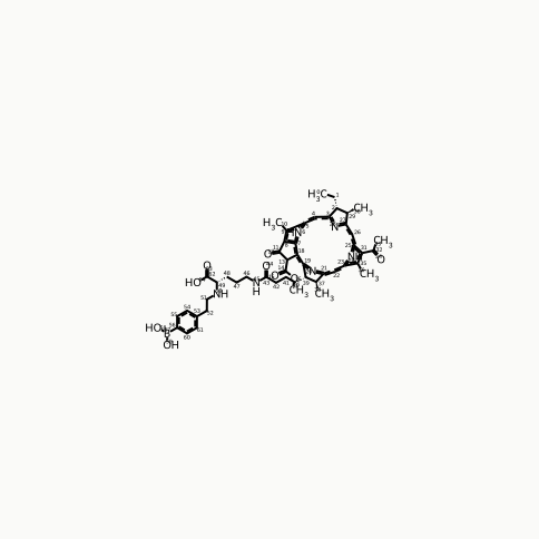 CC[C@H]1c2cc3[nH]c4c(c3C)C(=O)C(C(=O)OC)c4c3nc(cc4[nH]c(cc(n2)[C@@H]1C)c(C(C)=O)c4C)[C@@H](C)[C@@H]3CCCC(=O)NCCC[C@H](NCCc1ccc(B(O)O)cc1)C(=O)O